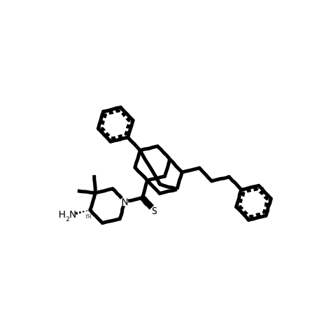 CC1(C)CN(C(=S)C23CC4CC(c5ccccc5)(CC(C2)C4CCCc2ccccc2)C3)CC[C@@H]1N